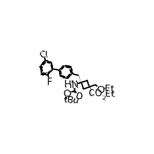 CCOC[C@]1(C(=O)OCC)C[C@](Cc2ccc(-c3cc(Cl)ccc3F)cc2)(NC(=O)OC(C)(C)C)C1